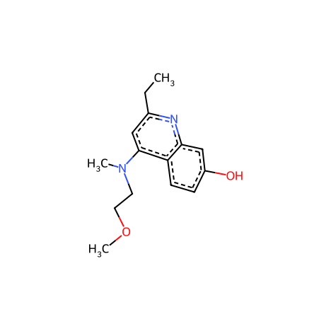 CCc1cc(N(C)CCOC)c2ccc(O)cc2n1